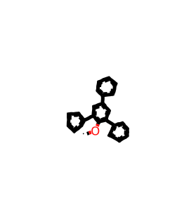 [CH2]Oc1c(-c2ccccc2)cc(-c2ccccc2)cc1-c1ccccc1